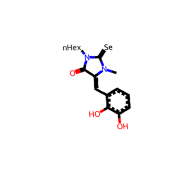 CCCCCCN1C(=O)C(=Cc2cccc(O)c2O)N(C)C1=[Se]